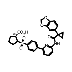 O=C(O)[C@@H]1CCCC1S(=O)(=O)c1ccc(-c2cccc(NC(=O)C3(c4ccc5c(c4)OCO5)CC3)n2)cc1